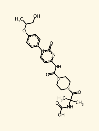 CC(CO)Oc1ccc(-n2ccc(NC(=O)N3CCN(C(=O)C(C)(C)NC(=O)O)CC3)nc2=O)cc1